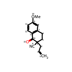 C=CCC1(C#N)CCc2cc(OC)ccc2C1=O